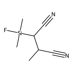 CC(C#N)C(C#N)[Si](C)(C)F